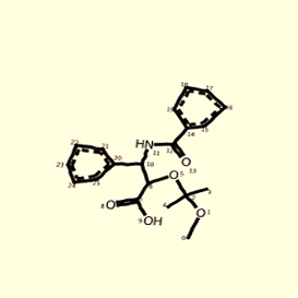 COC(C)(C)OC(C(=O)O)C(NC(=O)c1ccccc1)c1ccccc1